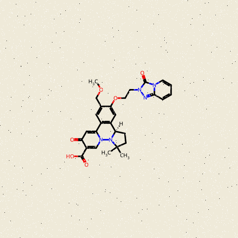 COCc1cc2c(cc1OCCn1nc3ccccn3c1=O)[C@H]1CCC(C)(C)N1n1cc(C(=O)O)c(=O)cc1-2